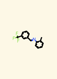 Cc1ccccc1N=Cc1cccc(C(F)(F)F)c1